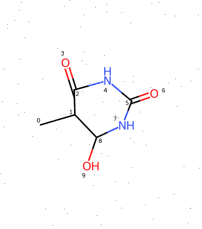 CC1C(=O)NC(=O)NC1O